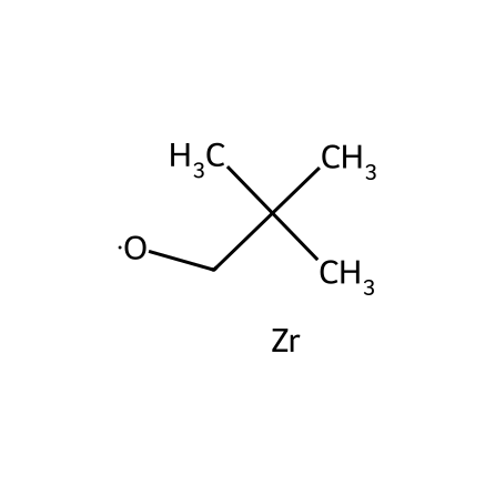 CC(C)(C)C[O].[Zr]